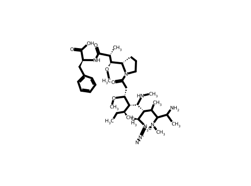 CC[C@H](C)[C@@H](C(NC)[C@H](C(C)C(C(C)N)N(C)C)[C@H](C)N=[N+]=[N-])[C@@H](CC(=O)N1CCC[C@H]1[C@H](OC)[C@@H](C)C(=O)N[C@@H](Cc1ccccc1)C(=O)O)OC